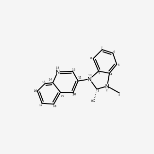 C[C@H]1N(C)c2ccccc2N1c1cnc2ccccc2c1